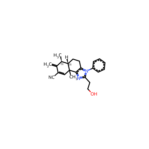 C=C1C(C#N)=CC2(C)c3nc(CCO)n(-c4ccccc4)c3CC[C@H]2[C@@H]1C